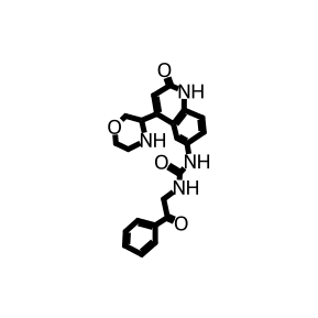 O=C(NCC(=O)c1ccccc1)Nc1ccc2[nH]c(=O)cc(C3COCCN3)c2c1